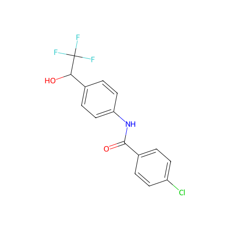 O=C(Nc1ccc(C(O)C(F)(F)F)cc1)c1ccc(Cl)cc1